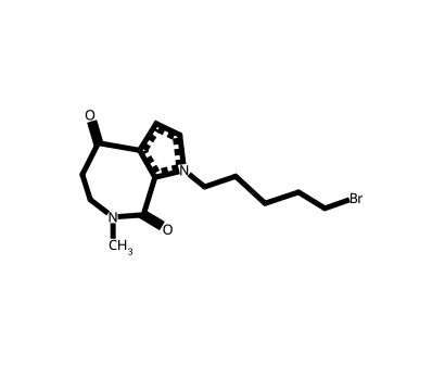 CN1CCC(=O)c2ccn(CCCCCBr)c2C1=O